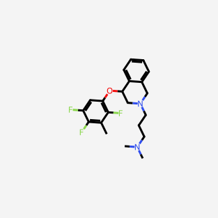 Cc1c(F)c(F)cc(OC2CN(CCCN(C)C)Cc3ccccc32)c1F